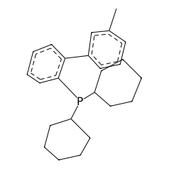 Cc1cccc(-c2ccccc2P(C2CCCCC2)C2CCCCC2)c1